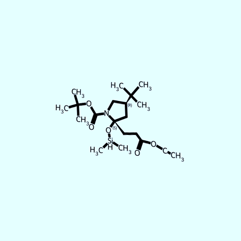 CCOC(=O)CC[C@]1(O[SiH](C)C)C[C@H](C(C)(C)C)CN1C(=O)OC(C)(C)C